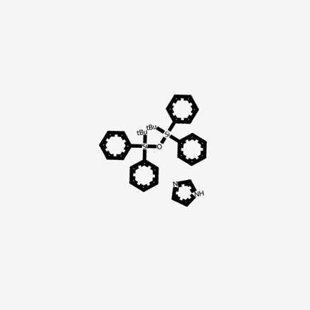 CC(C)(C)[Si](O[Si](c1ccccc1)(c1ccccc1)C(C)(C)C)(c1ccccc1)c1ccccc1.c1c[nH]cn1